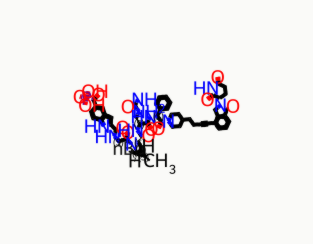 CCCC[C@H](NC(=O)c1cc2cc(C(=O)P(=O)(O)O)ccc2[nH]1)C(=O)N1C[C@@H]2[C@H](C)[C@@H]2[C@H]1C(=O)N[C@@H](CNC(N)=O)C(=O)N[C@H](C(=O)N1CCC(CCC#Cc2cccc3c2CN(C2CCC(=O)NC2=O)C3=O)CC1)c1ccccc1